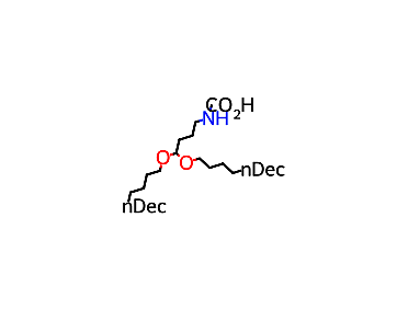 CCCCCCCCCCCCCCOC(CCCNC(=O)O)OCCCCCCCCCCCCCC